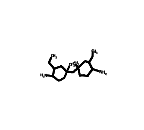 CCC1CC(C)(CC2(C)CCC(N)C(CC)C2)CCC1N